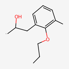 [CH2]C(O)Cc1cccc(C)c1OCCC